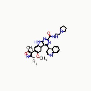 COC1=C(c2c(C)noc2C)C=C2Nc3nc(C(=O)NCCN4CCCC4)nc(C4C=CN=C5C=CC=CC54)c3C2C1